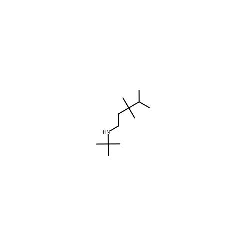 CC(C)C(C)(C)CCNC(C)(C)C